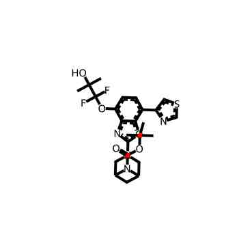 CC(C)(C)OC(=O)N1C2CC1CN(c1nc3c(OC(F)(F)C(C)(C)O)ccc(-c4cscn4)c3o1)C2